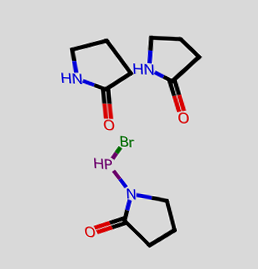 O=C1CCCN1.O=C1CCCN1.O=C1CCCN1PBr